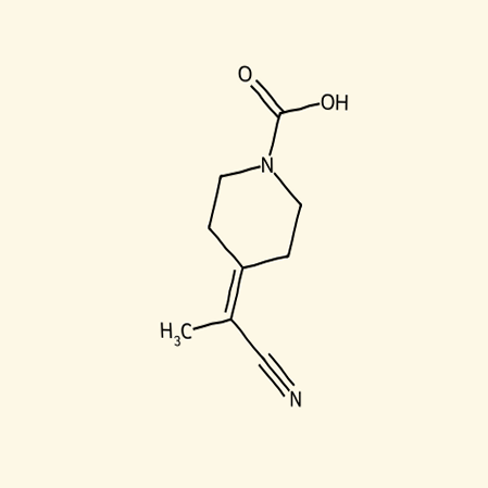 CC(C#N)=C1CCN(C(=O)O)CC1